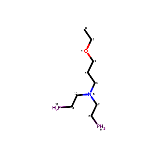 CCOCCCN(CCP)CCP